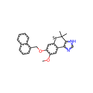 COc1cc2c(cc1OCc1cccc3ccccc13)[Se]C(C)(C)c1[nH]cnc1-2